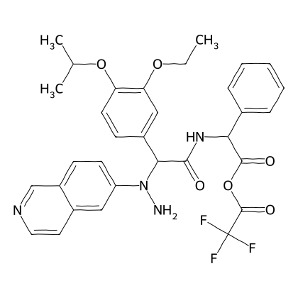 CCOc1cc(C(C(=O)NC(C(=O)OC(=O)C(F)(F)F)c2ccccc2)N(N)c2ccc3cnccc3c2)ccc1OC(C)C